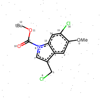 COc1cc2c(CCl)cn(C(=O)OC(C)(C)C)c2cc1Cl